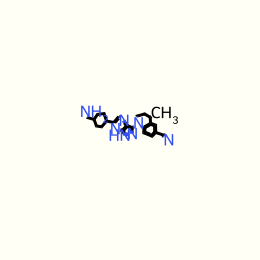 CC1CCN(c2n[nH]c3nc(C4CCC(CN)CC4)cnc23)c2ccc(C#N)cc21